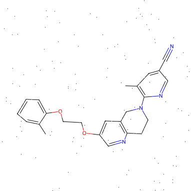 Cc1ccccc1OCCOc1cnc2c(c1)CN(c1ncc(C#N)cc1C)CC2